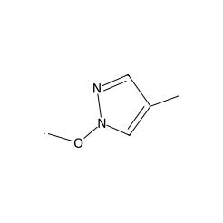 [CH2]On1cc(C)cn1